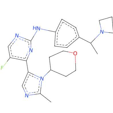 Cc1ncc(-c2nc(Nc3ccc(C(C)N4CCC4)cc3)ncc2F)n1C1CCOCC1